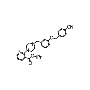 CC(C)OC(=O)c1cccnc1N1CCN(Cc2cccc(OCc3ccc(C#N)cc3)c2)CC1